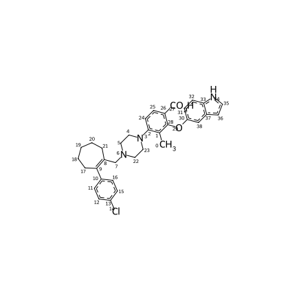 Cc1c(N2CCN(CC3=C(c4ccc(Cl)cc4)CCCCC3)CC2)ccc(C(=O)O)c1Oc1ccc2[nH]ccc2c1